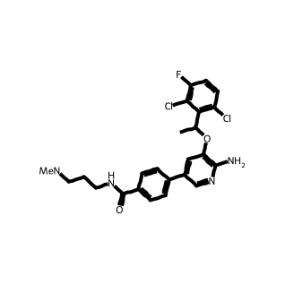 CNCCCNC(=O)c1ccc(-c2cnc(N)c(OC(C)c3c(Cl)ccc(F)c3Cl)c2)cc1